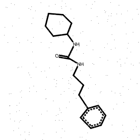 O=C(NCCCc1ccccc1)NC1CCCCC1